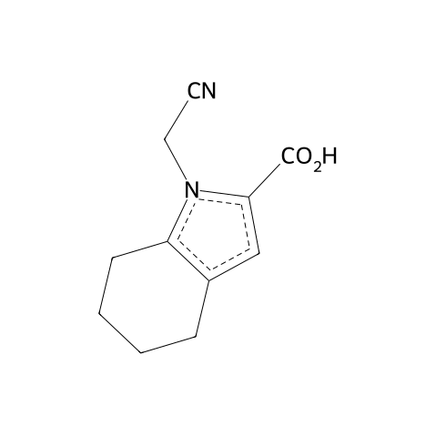 N#CCn1c(C(=O)O)cc2c1CCCC2